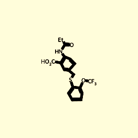 CCC(=O)Nc1ccc(CSc2ccccc2OC(F)(F)F)cc1C(=O)O